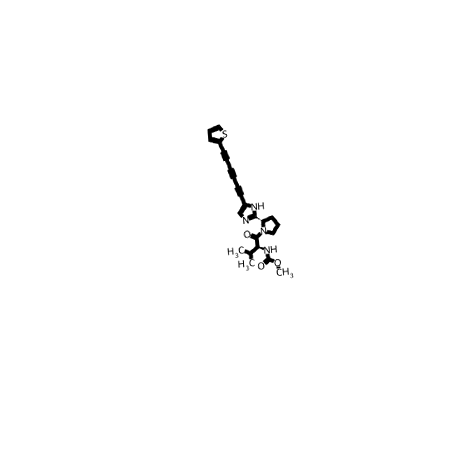 COC(=O)N[C@H](C(=O)N1CCC[C@H]1c1ncc(C#CC#CC#Cc2cccs2)[nH]1)C(C)C